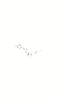 O=C(O)CCC/C=C/CC1C2CCC(CC2)C1NS(=O)(=O)/C=C/c1ccc([N+](=O)[O-])cc1